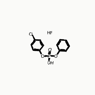 F.O=P(O)(Oc1ccccc1)Oc1ccc(Cl)cc1